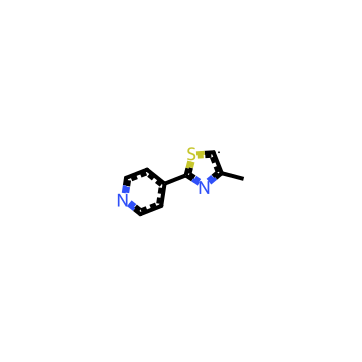 Cc1[c]sc(-c2ccncc2)n1